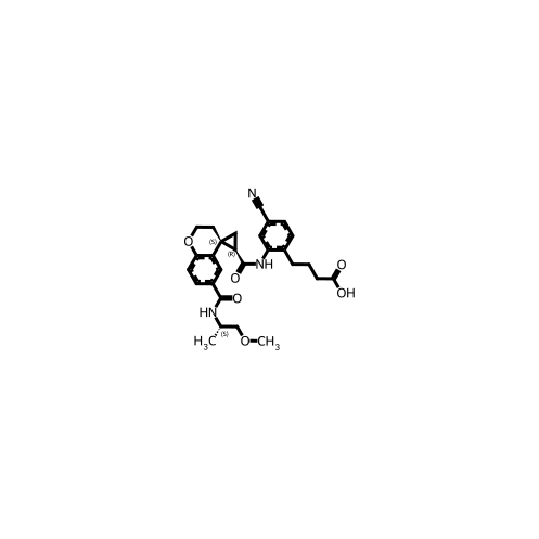 COC[C@H](C)NC(=O)c1ccc2c(c1)[C@]1(CCO2)C[C@H]1C(=O)Nc1cc(C#N)ccc1CCCC(=O)O